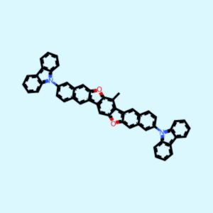 Cc1c2oc3cc4cc(-n5c6ccccc6c6ccccc65)ccc4cc3c2cc2oc3cc4cc(-n5c6ccccc6c6ccccc65)ccc4cc3c12